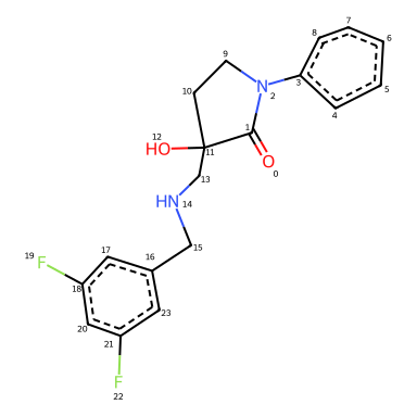 O=C1N(c2ccccc2)CCC1(O)CNCc1cc(F)cc(F)c1